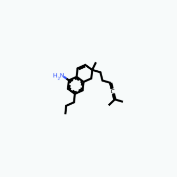 CCCc1cc(N)c2c(c1)CC(C)(CCC=C=C(C)C)C=C2